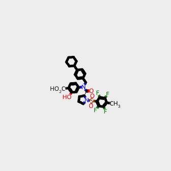 Cc1c(F)c(F)c(S(=O)(=O)N2CCC[C@@H]2C(=O)N(Cc2ccc(C3CCCCC3)cc2)c2ccc(C(=O)O)c(O)c2)c(F)c1F